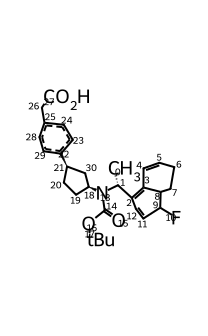 C[C@H](C1=C2C=CCCC2C(F)C=C1)N(C(=O)OC(C)(C)C)[C@H]1CC[C@@H](c2ccc(CC(=O)O)cc2)C1